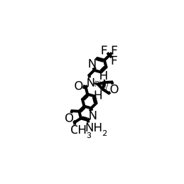 CC1OCc2c1c(N)nc1ccc(C(=O)N(Cc3ccc(C(F)(F)F)cn3)[C@H]3[C@@H]4COC[C@@H]43)cc21